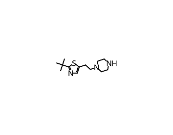 CC(C)(C)c1ncc(CCN2CCNCC2)s1